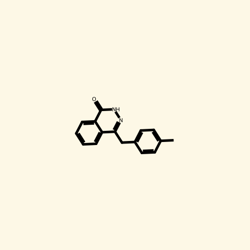 Cc1ccc(Cc2n[nH]c(=O)c3ccccc23)cc1